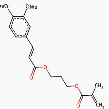 C=C(C)C(=O)OCCCOC(=O)C=Cc1ccc(OC)c(OC)c1